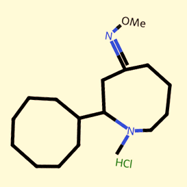 CON=C1CCCCN(C)C(C2CCCCCCC2)C1.Cl